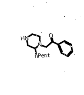 CCCCCC1CNCCN1CC(=O)c1ccccc1